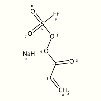 C=CC(=O)OOS(=O)(=O)CC.[NaH]